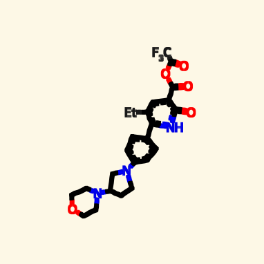 CCc1cc(C(=O)OC(=O)C(F)(F)F)c(=O)[nH]c1-c1ccc(N2CCC(N3CCOCC3)C2)cc1